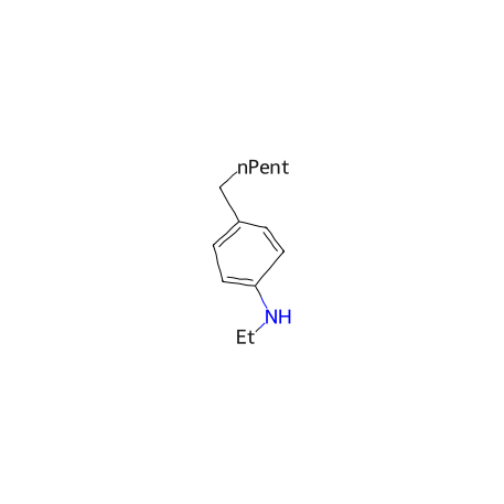 CCCCCCc1ccc(NCC)cc1